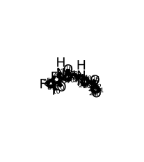 O=C(c1c(F)cc(F)cc1F)c1c[nH]c2c(=O)n(CC3=CN4C=CC(C(=O)N5CCOCC5)=CC4N3)ccc12